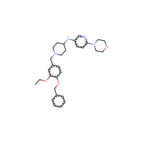 CCOc1cc(CN2CCC(Nc3ccc(N4CCOCC4)nc3)CC2)ccc1OCc1ccccc1